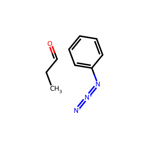 CCC=O.[N-]=[N+]=Nc1ccccc1